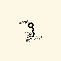 CCCCCCCc1ccc(C=CCC(P(=O)(OCC)OCC)S(=O)(=O)O)cc1